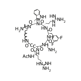 C=C(N)C1CCCNC(=O)CC[C@H](NC(=O)[C@H](CCCNC(=N)N)NC(C)=O)C(=O)N[C@@H](CCN)C(=O)N[C@H](Cc2cc(F)cc(F)c2)C(=O)N[C@@H](CCCNC(=N)N)C(=O)N[C@@H](Cc2c[nH]c3ccccc23)C(=O)N1